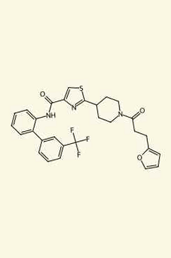 O=C(Nc1ccccc1-c1cccc(C(F)(F)F)c1)c1csc(C2CCN(C(=O)CCc3ccco3)CC2)n1